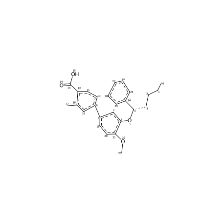 CCCC[C@H](Oc1cc(-c2ccc(C(=O)O)c(C)c2)ccc1OC)c1ccccc1